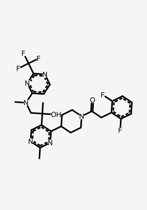 Cc1ncc(C(C)(O)CN(C)c2ccnc(C(F)(F)F)n2)c(C2CCN(C(=O)Cc3c(F)cccc3F)CC2)n1